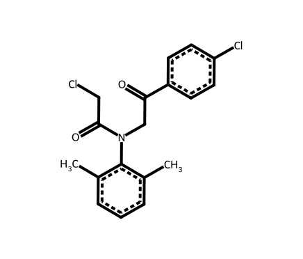 Cc1cccc(C)c1N(CC(=O)c1ccc(Cl)cc1)C(=O)CCl